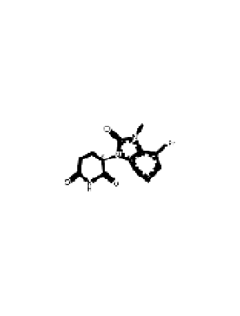 CC(C)c1cccc2c1n(C)c(=O)n2[C@@H]1CCC(=O)NC1=O